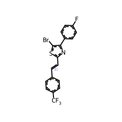 Fc1ccc(-c2nc(/C=C/c3ccc(C(F)(F)F)cc3)sc2Br)cc1